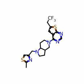 Cc1nc(CN2CCC3CN(c4ncnc5sc(CC(F)(F)F)cc45)CCC32)cs1